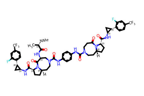 CN[C@@H](C)C(=O)N[C@H]1CN(C(=O)Nc2ccc(NC(=O)N3CCC(=O)N4[C@H](CC[C@H]4C(=O)N[C@H]4C[C@@H]4c4ccc(C(F)(F)F)cc4F)CC3)cc2)CC[C@H]2CC[C@@H](C(=O)N[C@H]3C[C@@H]3c3ccc(C(F)(F)F)cc3F)N2C1=O